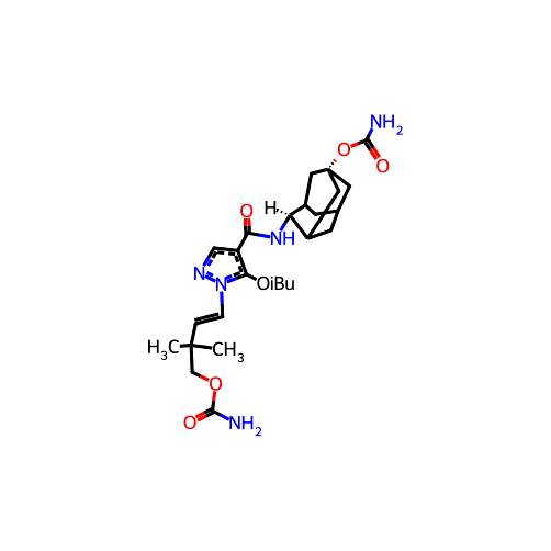 CC(C)COc1c(C(=O)N[C@H]2C3CC4CC2C[C@](OC(N)=O)(C4)C3)cnn1/C=C/C(C)(C)COC(N)=O